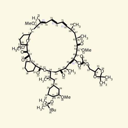 CO[C@H]1CC2CC[C@@H](C)[C@@](O)(O2)C(=O)C(=O)N2CCCCC2C(=O)O[C@H]([C@H](C)C[C@@H]2CC[C@@H](O[Si](C)(C)C(C)(C)C)[C@H](OC)C2)CC(=O)[C@H](C)/C=C(\C)[C@@H](OC(=O)OCC2COC(C)(C)O2)[C@@H](OC)C(=O)[C@H](C)C[C@H](C)/C=C/C=C/C=C/1C